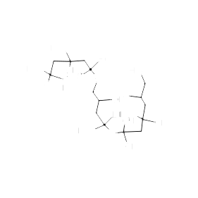 CCC(C)(CC(C)(C)CC(C)(C)O)OCC(O)CC(C)(CC)OC(C)(C)CC(C)(C)CC(O)CO